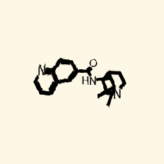 CC1(C)C(NC(=O)c2ccc3ncccc3c2)C2CCN1CC2